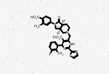 CCOC(=O)C1=C(CN2CC[C@@H]3C(=O)N(c4ccc(C(=O)O)c(C)c4)C[C@@H]3C2)NC(c2nccs2)=NC1c1cccc(F)c1C